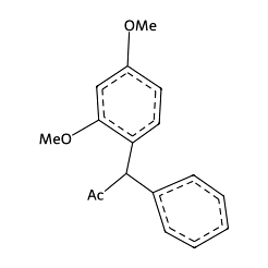 COc1ccc(C(C(C)=O)c2ccccc2)c(OC)c1